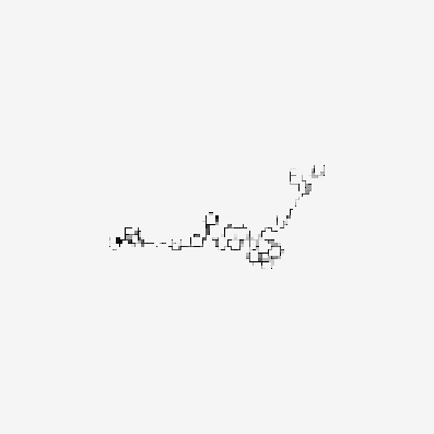 CCC1(COCCCCCOCc2ccc(N(c3ccccc3)c3ccc4ccc5c(N(c6ccc(COCCCCCOCC7(CC)COC7)cc6)c6cccc7oc8ccccc8c67)ccc6ccc3c4c65)cc2)COC1